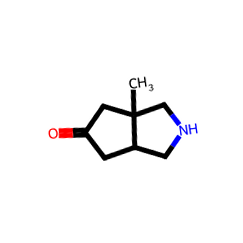 CC12CNCC1CC(=O)C2